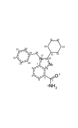 NC(=O)c1cccc2c1nc(C1CCCCC1)n2Cc1ccccc1